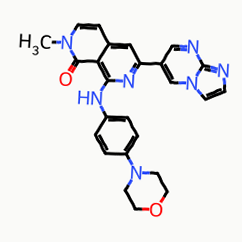 Cn1ccc2cc(-c3cnc4nccn4c3)nc(Nc3ccc(N4CCOCC4)cc3)c2c1=O